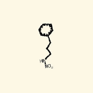 O=[N+]([O-])NCCCc1ccccc1